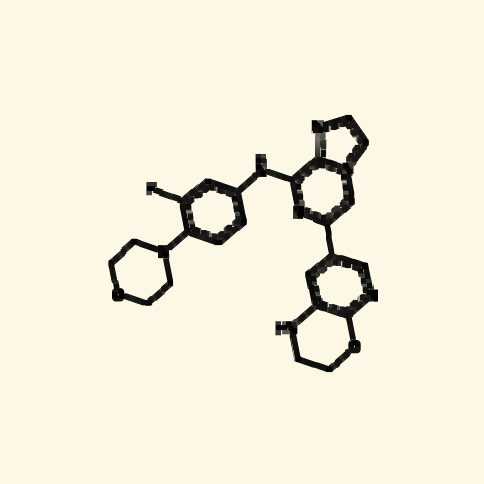 Fc1cc(Nc2nc(-c3cnc4c(c3)NCCO4)cn3ccnc23)ccc1N1CCOCC1